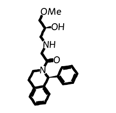 COC[C@@H](O)CNCC(=O)N1CCc2ccccc2[C@@H]1c1ccccc1